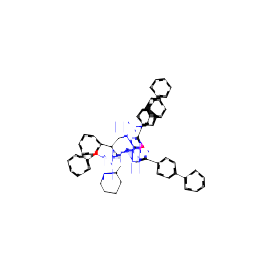 c1ccc(CNC(CC(c2ccccc2)[C@](CC2CCCCC2)(NCc2ccccc2)c2nc(-c3ccc(-c4ccccc4)cc3)c[nH]2)c2nc(-c3ccc(-c4ccccc4)cc3)c[nH]2)cc1